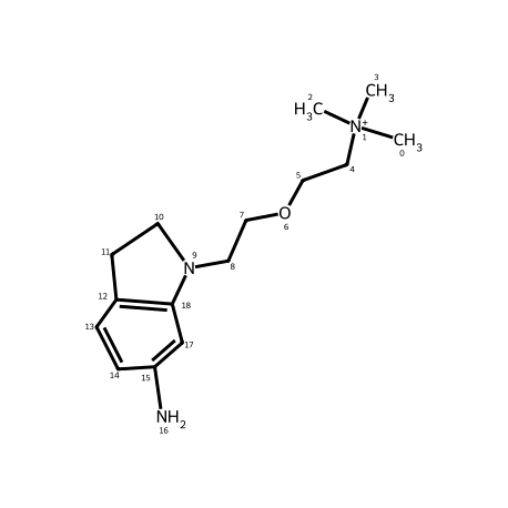 C[N+](C)(C)CCOCCN1CCc2ccc(N)cc21